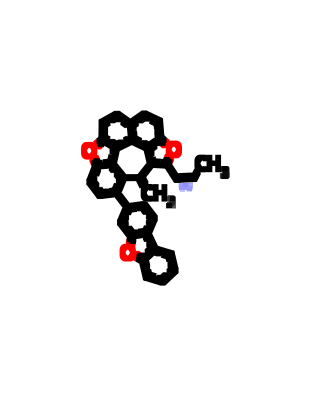 C=C1c2c(/C=C\C)oc3ccc4ccc5oc6ccc(-c7ccc8c(c7)oc7ccccc78)c1c6c5c4c23